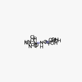 CCOc1cc2ncc(C#N)c(Nc3ccc(F)c(Cl)c3)c2cc1NC(=O)/C=C/CNCCO/N=C/C(F)C(O)C(O)C(O)CO